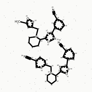 Cc1cc(CN2CCCCC2c2nc(-c3cccc(C#N)c3)no2)no1.N#Cc1ccc(CN2CCCCC2c2nc(-c3cccc(C#N)c3)no2)nc1